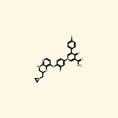 NC(=O)c1cn(-c2ccc(Oc3ccnc4c3OC(CN3CC3)CN4)c(F)c2)cc(-c2ccc(F)cc2)c1=O